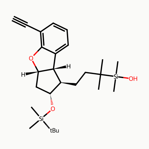 C#Cc1cccc2c1O[C@H]1C[C@@H](O[Si](C)(C)C(C)(C)C)[C@H](CCC(C)(C)[Si](C)(C)O)[C@@H]21